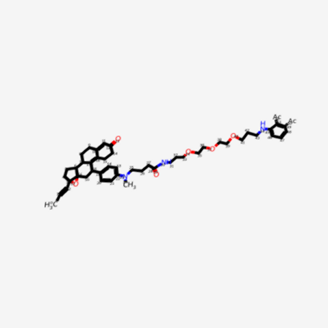 CC#CC12CCC3C4CCC5=CC(=O)CCC5=C4C(c4ccc(N(C)CCCC(=O)NCCCOCCOCCOCCCNc5cccc(C(C)=O)c5C(C)=O)cc4)CC31O2